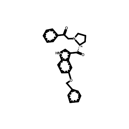 O=C(CN1CCC[C@@H]1C(=O)c1c[nH]c2ccc(OCc3ccccc3)cc12)c1ccccc1